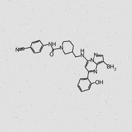 Bc1cnn2c(NCC3CCCN(C(=O)Nc4ccc(C#N)cc4)C3)cc(-c3ccccc3O)nc12